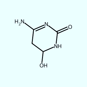 NC1=NC(=O)NC(O)C1